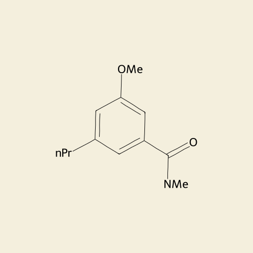 CCCc1cc(OC)cc(C(=O)NC)c1